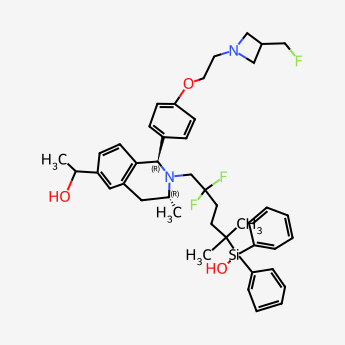 CC(O)c1ccc2c(c1)C[C@@H](C)N(CC(F)(F)CCC(C)(C)[Si](O)(c1ccccc1)c1ccccc1)[C@@H]2c1ccc(OCCN2CC(CF)C2)cc1